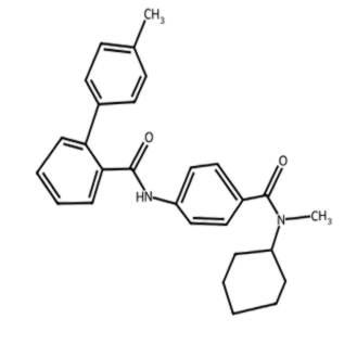 Cc1ccc(-c2ccccc2C(=O)Nc2ccc(C(=O)N(C)C3CCCCC3)cc2)cc1